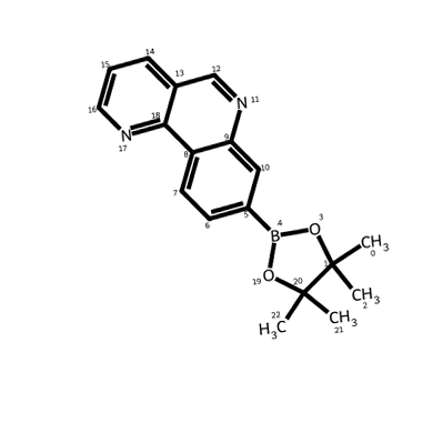 CC1(C)OB(c2ccc3c(c2)ncc2cccnc23)OC1(C)C